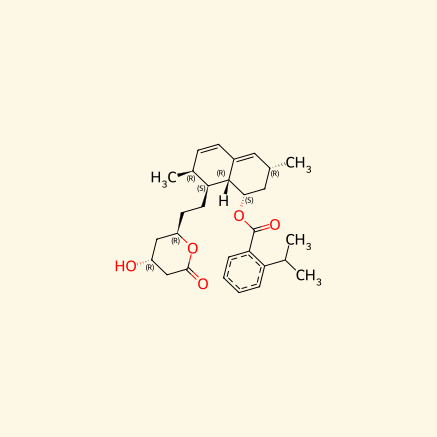 CC(C)c1ccccc1C(=O)O[C@H]1C[C@@H](C)C=C2C=C[C@H](C)[C@H](CC[C@@H]3C[C@@H](O)CC(=O)O3)[C@H]21